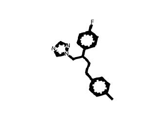 Cc1ccc(CCC(Cn2cncn2)c2ccc(F)cc2)cc1